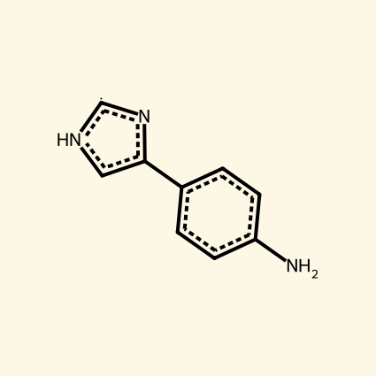 Nc1ccc(-c2c[nH][c]n2)cc1